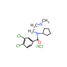 CN(C)[C@@H]1CCC[C@H]1N(C)C(=O)c1ccc(Cl)c(Cl)c1.Cl